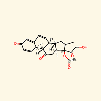 CCC(=O)O[C@]1(C(=O)CO)C(C)C[C@H]2[C@@H]3C=CC4=CC(=O)C=C[C@]4(C)[C@H]3C(=O)C[C@@]21C